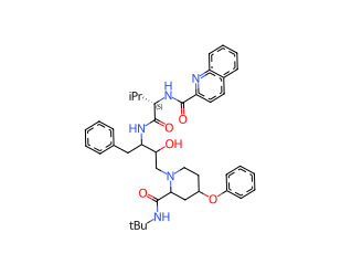 CC(C)[C@H](NC(=O)c1ccc2ccccc2n1)C(=O)NC(Cc1ccccc1)C(O)CN1CCC(Oc2ccccc2)CC1C(=O)NC(C)(C)C